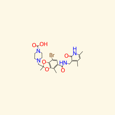 Cc1cc(C)c(CNC(=O)c2cc(Br)c3c(c2C)OC(C)(CN2CCN(C(=O)O)CC2)O3)c(=O)[nH]1